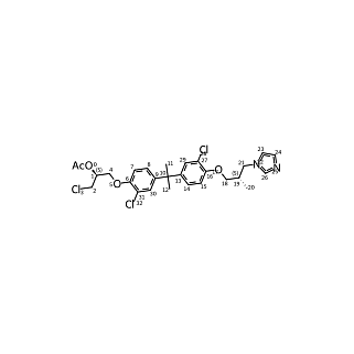 CC(=O)O[C@H](CCl)COc1ccc(C(C)(C)c2ccc(OC[C@@H](C)Cn3ccnc3)c(Cl)c2)cc1Cl